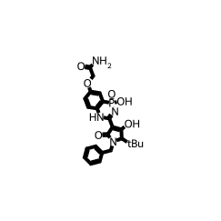 CC(C)(C)C1C(O)=C(C2=NP(=O)(O)c3cc(OCC(N)=O)ccc3N2)C(=O)N1Cc1ccccc1